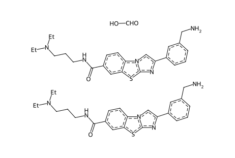 CCN(CC)CCCNC(=O)c1ccc2c(c1)sc1nc(-c3cccc(CN)c3)cn12.CCN(CC)CCCNC(=O)c1ccc2c(c1)sc1nc(-c3cccc(CN)c3)cn12.O=CO